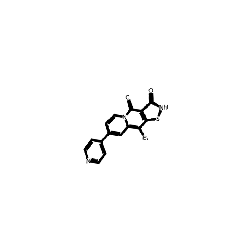 CCc1c2s[nH]c(=O)c2c(=O)n2ccc(-c3ccncc3)cc12